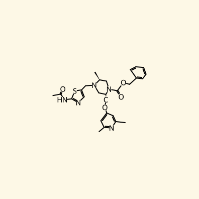 CC(=O)Nc1ncc(CN2C[C@@H](COc3cc(C)nc(C)c3)N(C(=O)OCc3ccccc3)C[C@@H]2C)s1